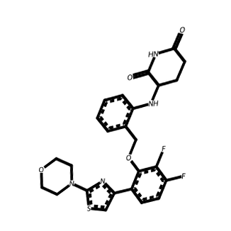 O=C1CCC(Nc2ccccc2COc2c(-c3csc(N4CCOCC4)n3)ccc(F)c2F)C(=O)N1